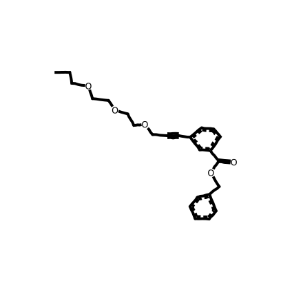 CCCOCCOCCOCC#Cc1cccc(C(=O)OCc2ccccc2)c1